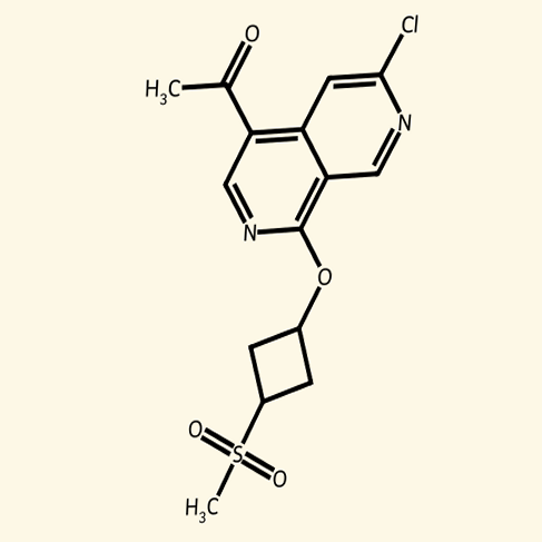 CC(=O)c1cnc(OC2CC(S(C)(=O)=O)C2)c2cnc(Cl)cc12